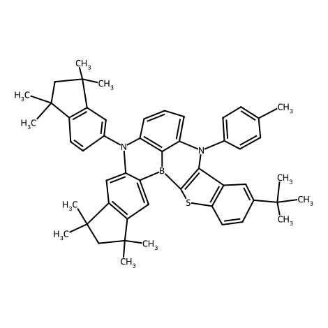 Cc1ccc(N2c3cccc4c3B(c3cc5c(cc3N4c3ccc4c(c3)C(C)(C)CC4(C)C)C(C)(C)CC5(C)C)c3sc4ccc(C(C)(C)C)cc4c32)cc1